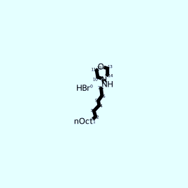 Br.CCCCCCCCCCCCCCNN1CCOCC1